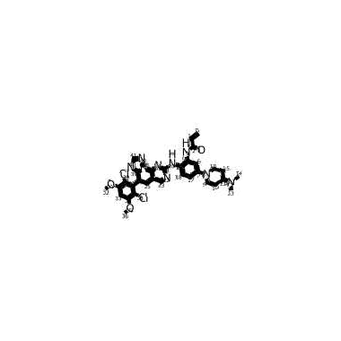 C=CC(=O)Nc1cc(N2CCC(N(C)C)CC2)ccc1Nc1ncc2cc(-c3c(Cl)c(OC)cc(OC)c3Cl)c3ncnn3c2n1